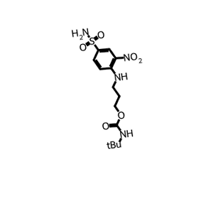 CC(C)(C)NC(=O)OCCCNc1ccc(S(N)(=O)=O)cc1[N+](=O)[O-]